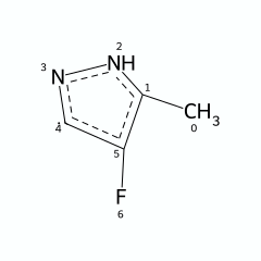 Cc1[nH]n[c]c1F